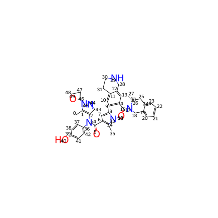 Cc1c(N(C(=O)c2cc(-c3cc4c(cc3C(=O)N3Cc5ccccc5C[C@H]3C)CNCC4)n(C)c2C)c2ccc(O)cc2)cnn1C1CCO1